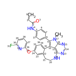 C=CC(=O)Nc1ccc(-c2c3c4c(ncnc4n2C)NCCc2cc(Oc4cccc(F)n4)ccc2-3)cc1